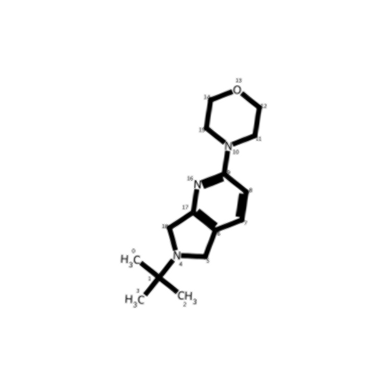 CC(C)(C)N1Cc2ccc(N3CCOCC3)nc2C1